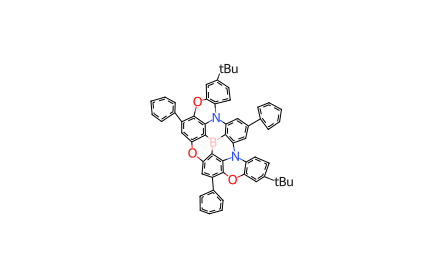 CC(C)(C)c1ccc2c(c1)Oc1c(-c3ccccc3)cc3c4c1N2c1cc(-c2ccccc2)cc2c1B4c1c(cc(-c4ccccc4)c4c1N2c1ccc(C(C)(C)C)cc1O4)O3